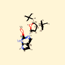 CC(C)(C)C[C@H]1O[C@@H](n2cc3ccnc-3[nH]c2=O)C[C@H]1C(C)(C)C